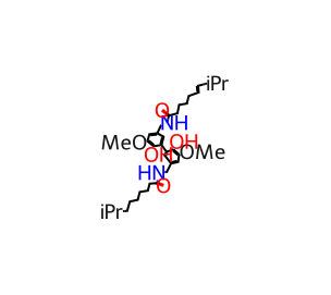 COc1cc(CNC(=O)CCCC/C=C/C(C)C)cc(-c2cc(CNC(=O)CCCCCCC(C)C)cc(OC)c2O)c1O